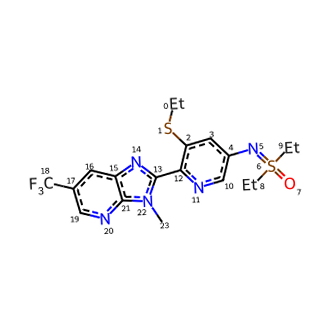 CCSc1cc(N=S(=O)(CC)CC)cnc1-c1nc2cc(C(F)(F)F)cnc2n1C